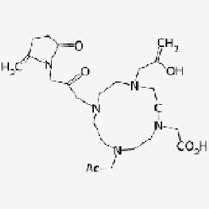 C=C(O)CN1CCN(CC(=O)O)CCN(CC(C)=O)CCN(CC(=O)CN2C(=C)CCC2=O)CC1